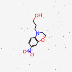 O=[N+]([O-])c1ccc2c(c1)OCCN2CCCO